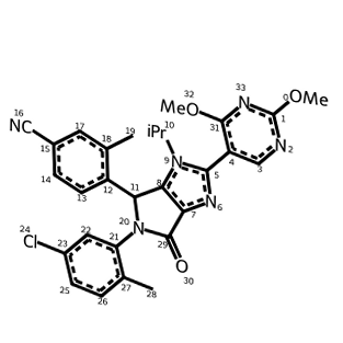 COc1ncc(-c2nc3c(n2C(C)C)C(c2ccc(C#N)cc2C)N(c2cc(Cl)ccc2C)C3=O)c(OC)n1